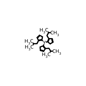 CC(C)CC1=[C]([Y]([C]2=C(CC(C)C)C=CC2)[C]2=C(CC(C)C)C=CC2)CC=C1